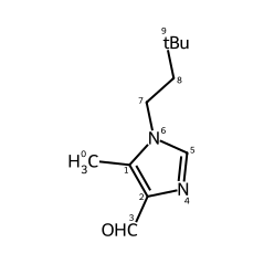 Cc1c(C=O)ncn1CCC(C)(C)C